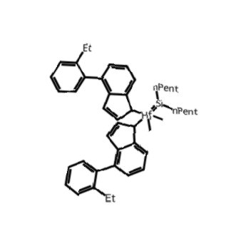 CCCCC[Si](CCCCC)=[Hf]([CH3])([CH3])([CH]1C=Cc2c(-c3ccccc3CC)cccc21)[CH]1C=Cc2c(-c3ccccc3CC)cccc21